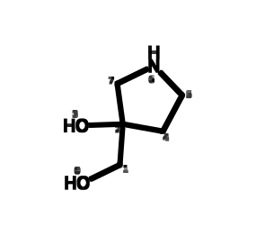 OCC1(O)CCNC1